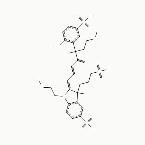 C=C(/C=C/C=C1/N(CCOC)c2ccc(S(=O)(=O)O)cc2C1(C)CCCS(=O)(=O)O)C(C)(CCOC)c1cc(S(=O)(=O)O)ccc1C